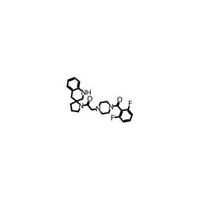 O=C(c1c(F)cccc1F)N1CCN(CC(=O)N2CCCC23CNc2ccccc2C3)CC1